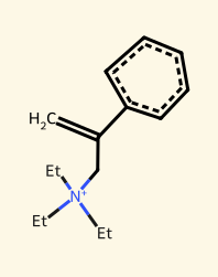 C=C(C[N+](CC)(CC)CC)c1ccccc1